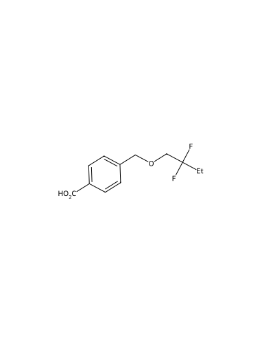 CCC(F)(F)COCc1ccc(C(=O)O)cc1